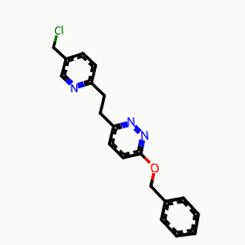 ClCc1ccc(CCc2ccc(OCc3ccccc3)nn2)nc1